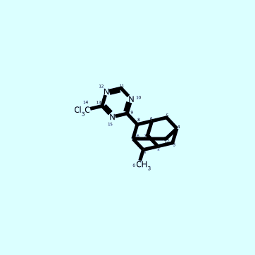 CC1C2CC3CC(C2)C(c2ncnc(C(Cl)(Cl)Cl)n2)C1C3